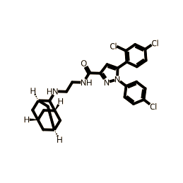 O=C(NCCNC1[C@H]2C[C@@H]3C[C@@H](C[C@H]1C3)C2)c1cc(-c2ccc(Cl)cc2Cl)n(-c2ccc(Cl)cc2)n1